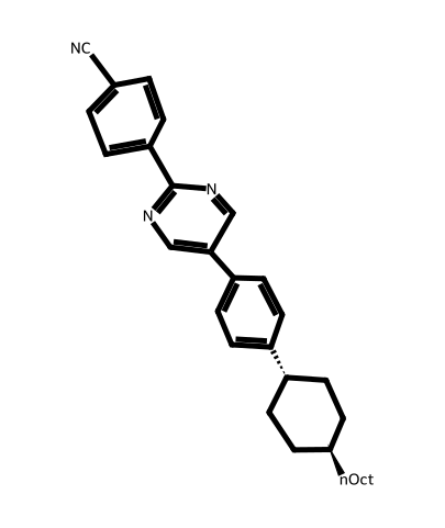 CCCCCCCC[C@H]1CC[C@H](c2ccc(-c3cnc(-c4ccc(C#N)cc4)nc3)cc2)CC1